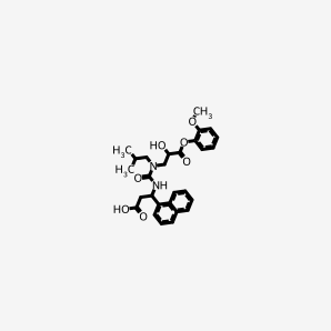 COc1ccccc1OC(=O)C(O)CN(CC(C)C)C(=O)NC(CC(=O)O)c1cccc2ccccc12